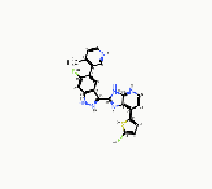 Cc1ccncc1-c1cc2c(-c3nc4c(-c5ccc(F)s5)ccnc4[nH]3)n[nH]c2cc1F